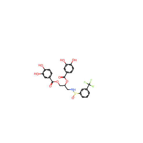 O=C(OCC(CN[S+]([O-])c1cccc(C(F)(F)F)c1)OC(=O)c1ccc(O)c(O)c1)c1ccc(O)c(O)c1